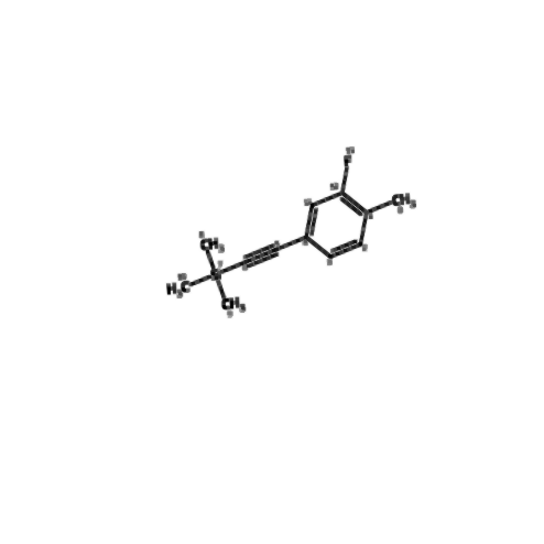 Cc1ccc(C#C[Si](C)(C)C)cc1F